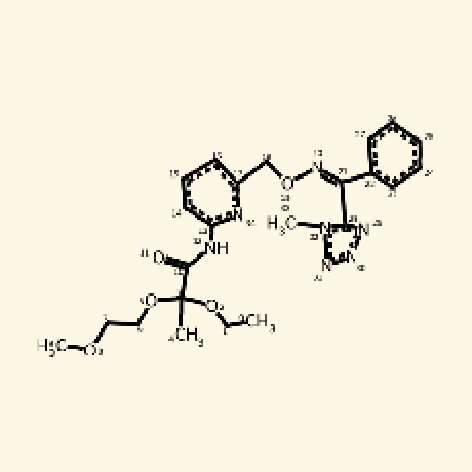 CCOC(C)(OCCOC)C(=O)Nc1cccc(CO/N=C(/c2ccccc2)c2nnnn2C)n1